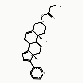 CCC(=O)O[C@H]1CC[C@@]2(C)C(=CCC3C4=CC=C(c5cccnc5)[C@@]4(C)CCC32)C1